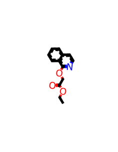 CCOC(=O)COc1nccc2ccccc12